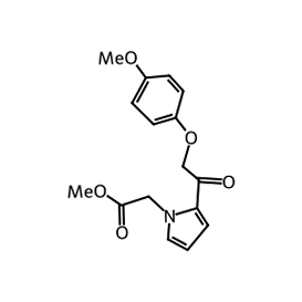 COC(=O)Cn1cccc1C(=O)COc1ccc(OC)cc1